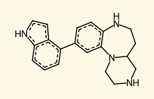 c1cc(-c2ccc3c(c2)N2CCNCC2CCN3)c2cc[nH]c2c1